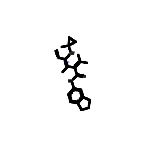 C=N/C(NC1(C)CC1)=C(\C)C(C(=O)Nc1ccc2c(c1)CCC2)=C(C)C